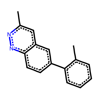 Cc1cc2cc(-c3ccccc3C)ccc2nn1